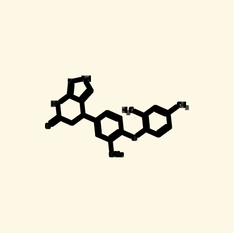 COc1cc(C2CC(=O)Nc3n[nH]cc32)ccc1Oc1ccc(C)cc1C